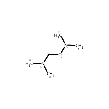 CN(C)CON(C)C